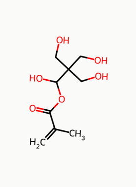 C=C(C)C(=O)OC(O)C(CO)(CO)CO